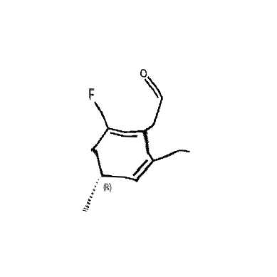 CC1=C[C@H](C)CC(F)=C1C=O